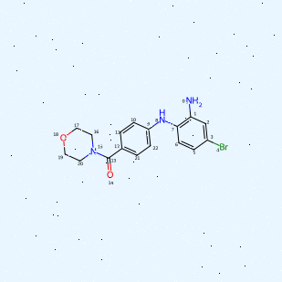 Nc1cc(Br)ccc1Nc1ccc(C(=O)N2CCOCC2)cc1